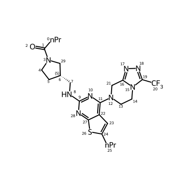 CCCC(=O)N1CC[C@@H](CNc2nc(N3CCn4c(nnc4C(F)(F)F)C3)c3cc(CCC)sc3n2)C1